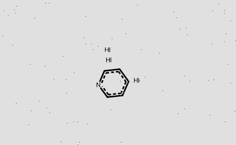 I.I.I.c1ccncc1